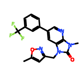 Cc1cc(Cn2c(=O)n(C)c3ncc(-c4cccc(C(F)(F)F)c4)cc32)no1